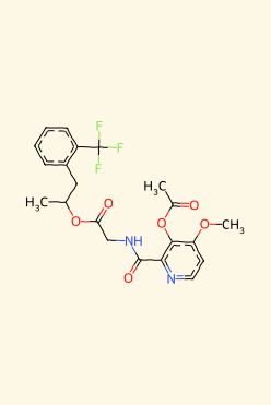 COc1ccnc(C(=O)NCC(=O)OC(C)Cc2ccccc2C(F)(F)F)c1OC(C)=O